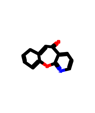 O=C1C=C2CC=CC=C2Oc2ncccc21